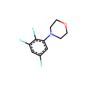 Fc1cc(F)c(F)c(N2CCOCC2)c1